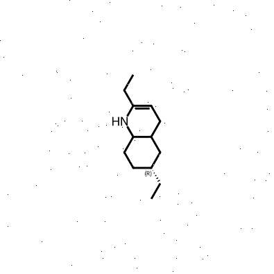 CCC1=CCC2C[C@H](CC)CCC2N1